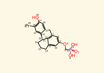 Cc1cc(OCP(=O)(O)O)cc2c1[C@H](c1ccc(O)c(C(C)C)c1)CCC2